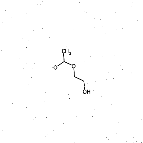 CC([O])OCCO